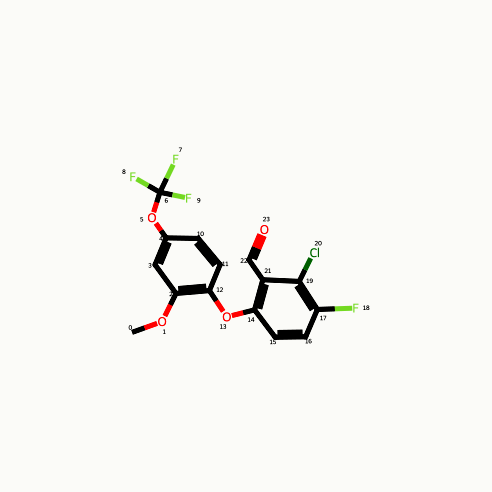 COc1cc(OC(F)(F)F)ccc1Oc1ccc(F)c(Cl)c1C=O